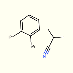 CC(C)C#N.CC(C)c1ccccc1C(C)C